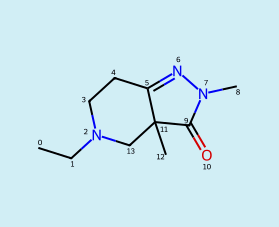 CCN1CCC2=NN(C)C(=O)C2(C)C1